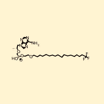 C[C@H](Cn1cnc2c(N)ncnc21)OCP(=O)(O)OCCOCCCCCCCCCCCCCCCCCC(F)(F)F